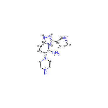 Nc1c(N2CCNCC2)ccc2nnc(-c3cccnc3)n12